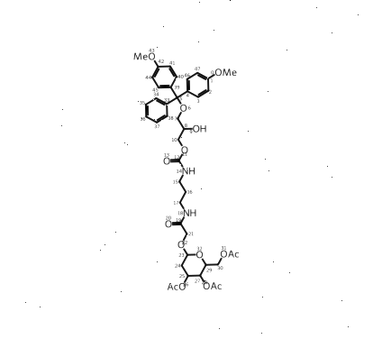 COc1ccc(C(OCC(O)COC(=O)NCCCNC(=O)COC2CC(OC(C)=O)C(OC(C)=O)C(COC(C)=O)O2)(c2ccccc2)c2ccc(OC)cc2)cc1